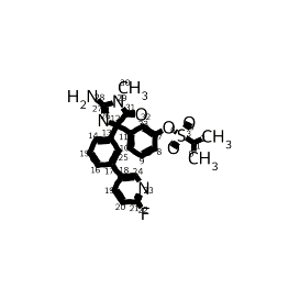 CC(C)S(=O)(=O)Oc1cccc(C2(c3cccc(-c4ccc(F)nc4)c3)N=C(N)N(C)C2=O)c1